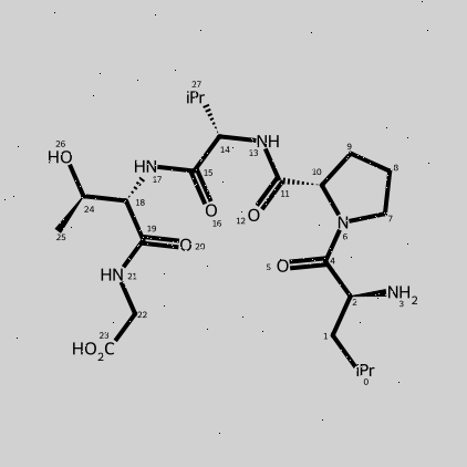 CC(C)C[C@H](N)C(=O)N1CCC[C@H]1C(=O)N[C@H](C(=O)N[C@H](C(=O)NCC(=O)O)[C@@H](C)O)C(C)C